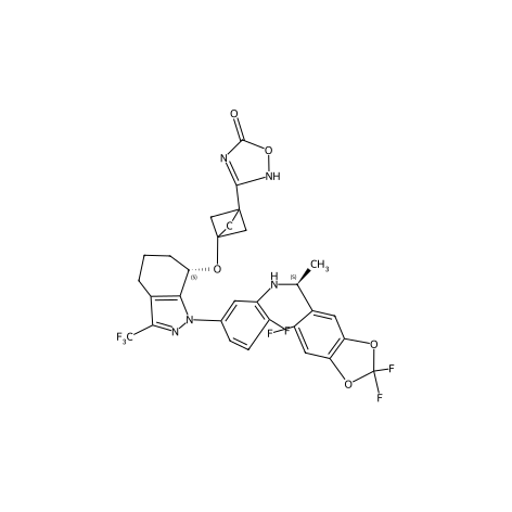 C[C@H](Nc1cc(-n2nc(C(F)(F)F)c3c2[C@@H](OC24CC(c5nc(=O)o[nH]5)(C2)C4)CCC3)ccc1F)c1cc2c(cc1F)OC(F)(F)O2